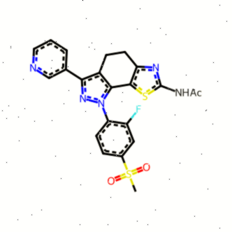 CC(=O)Nc1nc2c(s1)-c1c(c(-c3cccnc3)nn1-c1ccc(S(C)(=O)=O)cc1F)CC2